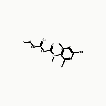 CCNC(=N)NC(=O)N(C)c1c(C)cc(O)cc1Cl